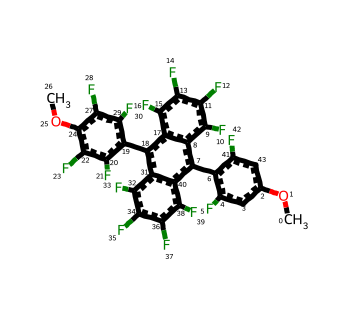 COc1cc(F)c(-c2c3c(F)c(F)c(F)c(F)c3c(-c3c(F)c(F)c(OC)c(F)c3F)c3c(F)c(F)c(F)c(F)c23)c(F)c1